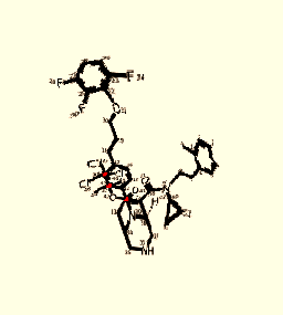 Cc1ccccc1CCN(C(=O)C1=C(c2ccc(CCCOc3c(F)ccc(F)c3F)cc2)CC2CNC[C@H]1N2C(=O)OC(C)(C)C(Cl)(Cl)Cl)C1CC1